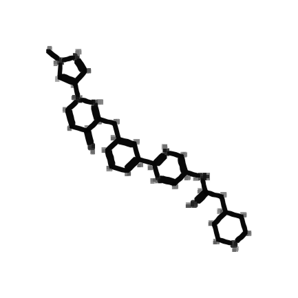 Cn1cc(-n2ccc(=O)c(Cc3cccc(-c4ncc(NC(=O)CC5CCOCC5)cn4)c3)n2)cn1